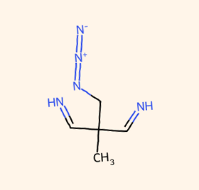 CC(C=N)(C=N)CN=[N+]=[N-]